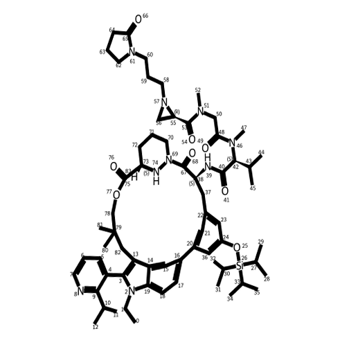 CCn1c(-c2cccnc2C(C)C)c2c3cc(ccc31)-c1cc(cc(O[Si](C(C)C)(C(C)C)C(C)C)c1)C[C@H](NC(=O)[C@H](C(C)C)N(C)C(=O)CN(C)C(=O)[C@H]1CN1CCCN1CCCC1=O)C(=O)N1CCC[C@H](N1)C(=O)OCC(C)(C)C2